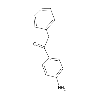 Nc1ccc(C(=O)Cc2ccccc2)cc1